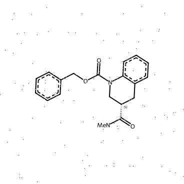 CNC(=O)[C@H]1Cc2ccccc2N(C(=O)OCc2ccccc2)C1